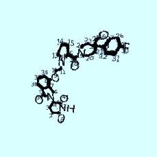 O=C1CCC(N2Cc3c(OCCN4CCCC4C(=O)N4CCC5(CC4)COc4cc(F)ccc45)cccc3C2=O)C(=O)N1